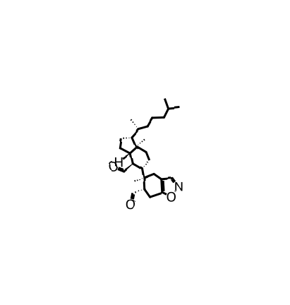 CC(C)CCC[C@@H](C)[C@H]1CC[C@H]2[C@H](C=O)[C@@H]([C@@]3(C)Cc4cnoc4C[C@@H]3C=O)CC[C@]12C